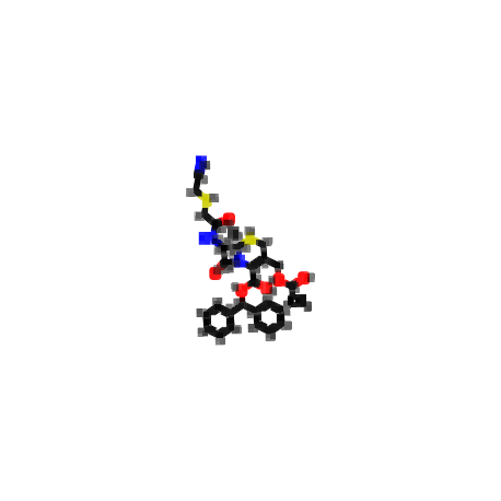 CC(=O)OCC1=C(C(=O)OC(c2ccccc2)c2ccccc2)N2C(=O)[C@@H](NC(=O)CSCC#N)[C@H]2SC1